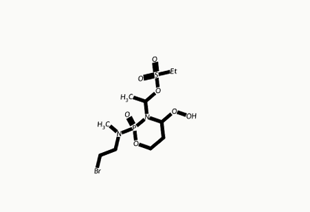 CCS(=O)(=O)OC(C)N1C(OO)CCOP1(=O)N(C)CCBr